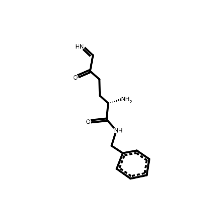 N=CC(=O)CC[C@H](N)C(=O)NCc1ccccc1